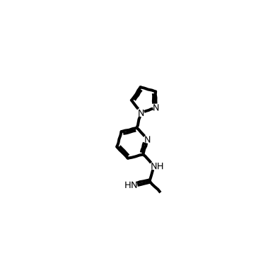 CC(=N)Nc1cccc(-n2cccn2)n1